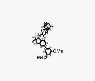 COc1cc(OC)cc(-c2ccc3c(c2)CC(C)(C)C3NC(=O)O[C@H]2CN3CCC2CC3)c1